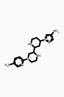 Nc1ccc(N2CCNC(C3CC(n4cc(N)cn4)CCN3)C2)nc1